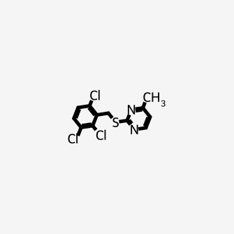 Cc1ccnc(SCc2c(Cl)ccc(Cl)c2Cl)n1